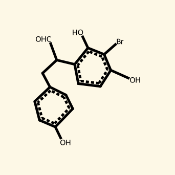 O=CC(Cc1ccc(O)cc1)c1ccc(O)c(Br)c1O